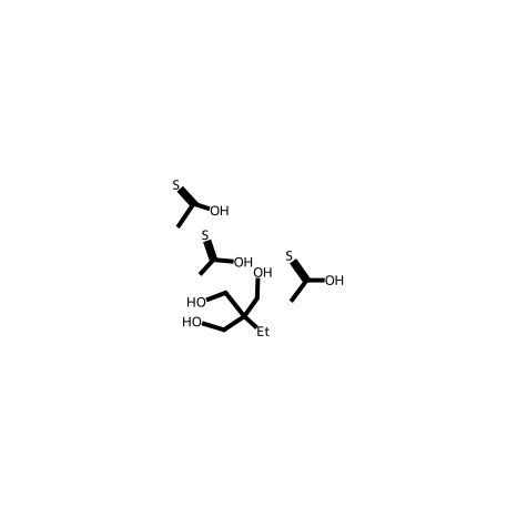 CC(O)=S.CC(O)=S.CC(O)=S.CCC(CO)(CO)CO